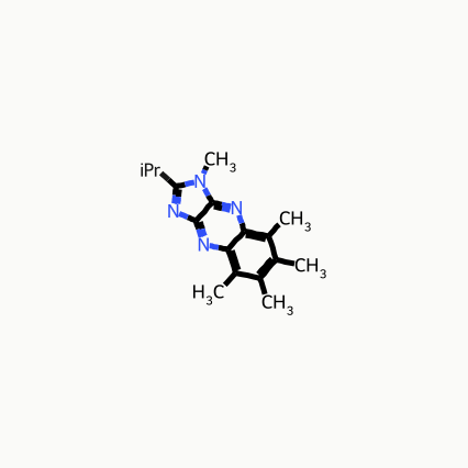 Cc1c(C)c(C)c2nc3c(nc(C(C)C)n3C)nc2c1C